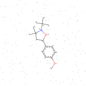 COc1ccc(C2CC(C)(C)N(C(C)(C)C)O2)cc1